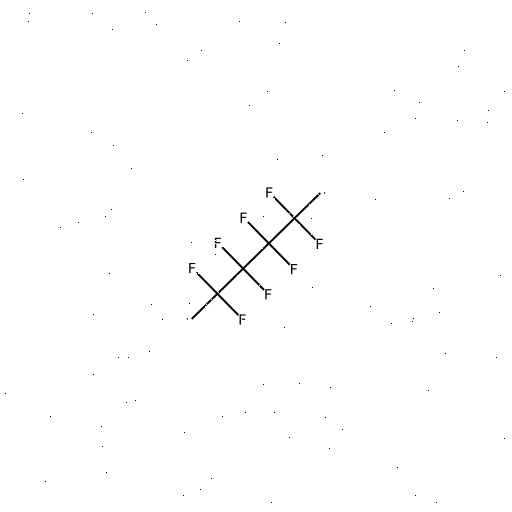 [CH2]C(F)(F)C(F)(F)C(F)(F)C([CH2])(F)F